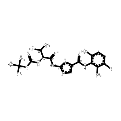 Cc1ccc(O)c(C)c1NC(=O)c1cnc(NC(=O)[C@@H](NC(=O)OC(C)(C)C)C(C)C)s1